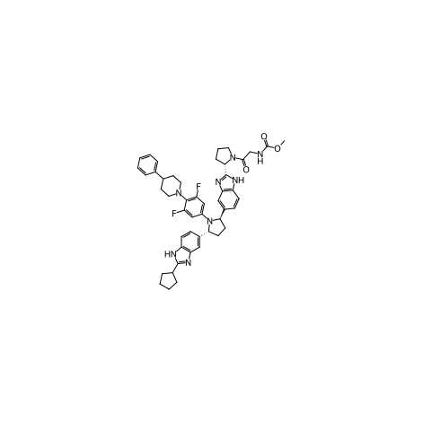 COC(=O)NCC(=O)N1CCC[C@H]1c1nc2cc([C@H]3CC[C@H](c4ccc5[nH]c(C6CCCC6)nc5c4)N3c3cc(F)c(N4CCC(c5ccccc5)CC4)c(F)c3)ccc2[nH]1